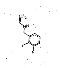 C=CNCc1cccc(F)c1F